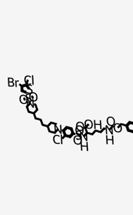 O=C(NCCCCC(NS(=O)(=O)c1ccc(N2CCC(CCCC3CCN(S(=O)(=O)c4cc(Br)c(Cl)s4)CC3)CC2)c(Cl)c1)C(=O)O)OCc1ccccc1